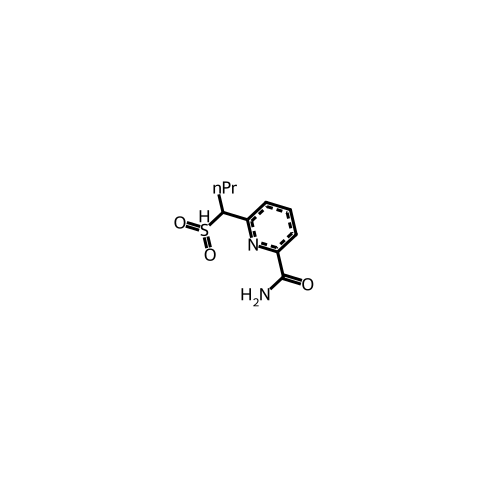 CCCC(c1cccc(C(N)=O)n1)[SH](=O)=O